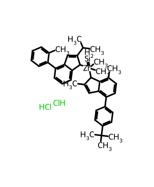 CC1=Cc2c(-c3ccc(C(C)(C)C)cc3)ccc(C)c2[CH]1[Zr]([CH3])([CH3])(=[SiH2])[CH]1C(C(C)C)=Cc2c(-c3ccccc3C)cccc21.Cl.Cl